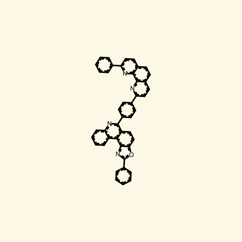 c1ccc(-c2ccc3ccc4ccc(-c5ccc(-c6nc7ccccc7c7c6ccc6oc(-c8ccccc8)nc67)cc5)nc4c3n2)cc1